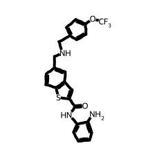 Nc1ccccc1NC(=O)c1cc2cc(CNCc3ccc(OC(F)(F)F)cc3)ccc2s1